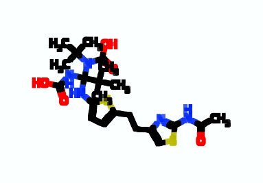 CC(=O)Nc1nc(CCc2ccc(NC(NC(=O)O)(N(C(=O)O)C(C)(C)C)C(C)(C)C)s2)cs1